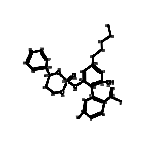 C=C(C)c1ccc(C)cc1-c1c(O)cc(CCCCC)cc1OP1(=O)OCCC(c2ccncc2)O1